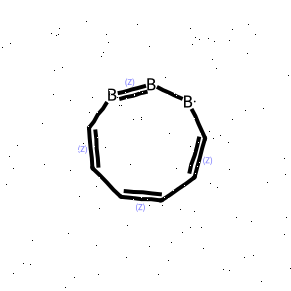 [B]1\B=B/C=C\C=C/C=C\1